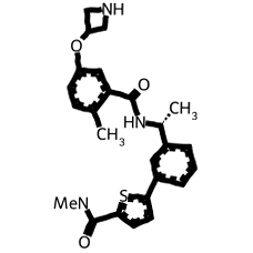 CNC(=O)c1ccc(-c2cccc([C@@H](C)NC(=O)c3cc(OC4CNC4)ccc3C)c2)s1